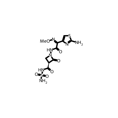 CO/N=C(\C(=O)NN1C[C@H](C(=O)NS(N)(=O)=O)C1=O)c1csc(N)n1